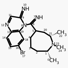 C[C@@H]1CCCC(C(=N)n2c(=N)cnc3ccc(Br)cc32)C[C@H](C)N1C